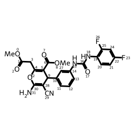 COC(=O)CC1=C(C(=O)OC)C(c2cccc(NC(=O)Nc3ccc(F)cc3F)c2)C(C#N)=C(N)O1